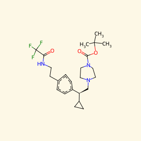 CC(C)(C)OC(=O)N1CCN(C[C@H](c2ccc(CCNC(=O)C(F)(F)F)cc2)C2CC2)CC1